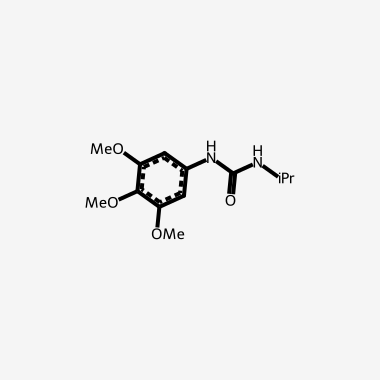 COc1cc(NC(=O)NC(C)C)cc(OC)c1OC